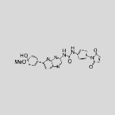 COC1(O)C=CC(c2ccc3ncc(NC(=O)Nc4ccc(N5C(=O)C=CC5=O)cc4)nc3n2)=CC1